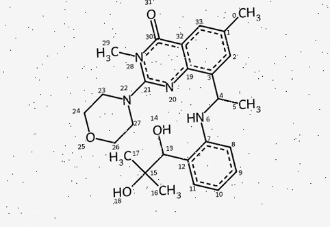 Cc1cc(C(C)Nc2ccccc2C(O)C(C)(C)O)c2nc(N3CCOCC3)n(C)c(=O)c2c1